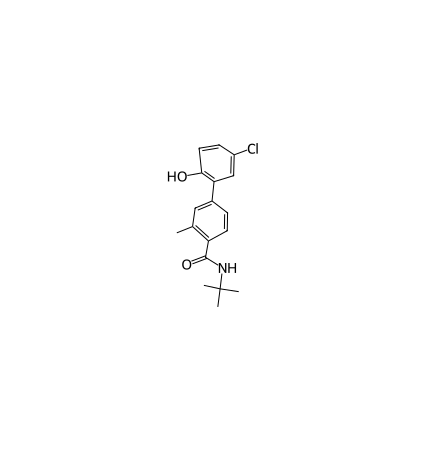 Cc1cc(-c2cc(Cl)ccc2O)ccc1C(=O)NC(C)(C)C